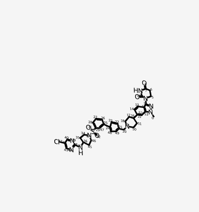 Cn1nc(N2CCC(=O)NC2=O)c2ccc(C3CCN(Cc4ccc(-c5cccc(S(=O)(=O)N6CCC(Nc7ncc(Cl)cn7)CC6)c5)cc4)CC3)cc21